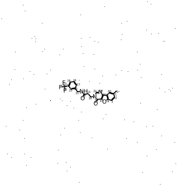 Cc1ccc2oc3c(=O)n(CCC(=O)NCc4cccc(C(F)(F)F)c4)cnc3c2c1